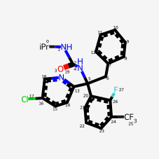 CC(C)NC(=O)NC(Cc1ccccc1)(c1ccc(Cl)cn1)c1cccc(C(F)(F)F)c1F